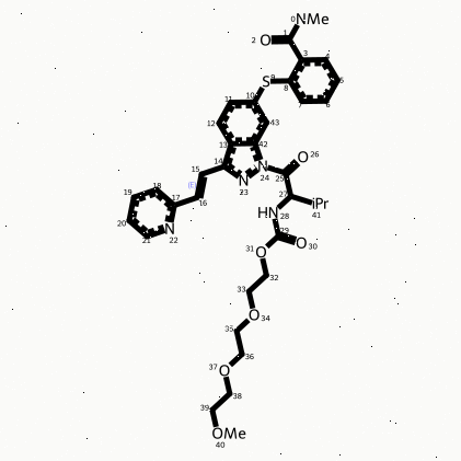 CNC(=O)c1ccccc1Sc1ccc2c(/C=C/c3ccccn3)nn(C(=O)C(NC(=O)OCCOCCOCCOC)C(C)C)c2c1